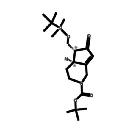 CC(C)(C)OC(=O)N1CC[C@@H]2C(=CC(=O)[C@H]2CO[Si](C)(C)C(C)(C)C)C1